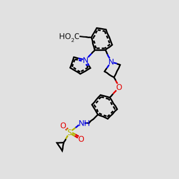 O=C(O)c1cccc(N2CC(Oc3ccc(CNS(=O)(=O)C4CC4)cc3)C2)c1-n1cccc1